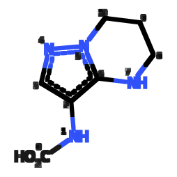 O=C(O)Nc1cnn2c1NCCC2